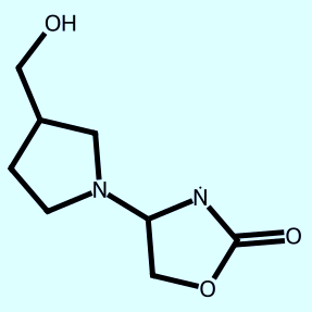 O=C1[N]C(N2CCC(CO)C2)CO1